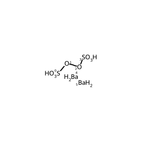 O=S(=O)(O)OOS(=O)(=O)O.[BaH2].[BaH2]